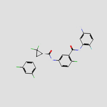 Nc1ccc(F)c(NC(=O)c2cc(NC(=O)[C@H]3[C@H](c4cc(Cl)cc(Cl)c4)C3(Cl)Cl)ccc2Cl)c1